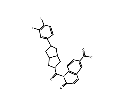 O=C(N1CC2CN(c3ccc(F)c(F)c3)CC2C1)n1c(=O)ccc2cc([N+](=O)[O-])ccc21